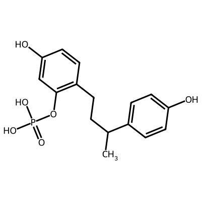 CC(CCc1ccc(O)cc1OP(=O)(O)O)c1ccc(O)cc1